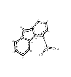 O=[SH](=O)c1cccc2sc3ccccc3c12